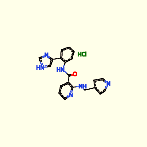 Cl.O=C(Nc1ccccc1-c1c[nH]cn1)c1cccnc1NCc1ccncc1